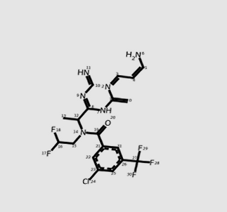 C=C(/N=C\C=C/N)N/C(=N\C=N)C(C)N(CC(F)F)C(=O)c1cc(Cl)cc(C(F)(F)F)c1